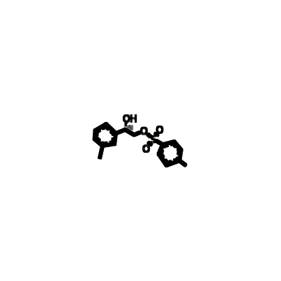 Cc1ccc(S(=O)(=O)OC[C@@H](O)c2cccc(C)c2)cc1